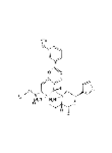 COC(=O)[C@@H]1C=C(OC(=O)c2cccc(OC)c2)C(=O)[C@H]2[C@@]1(N)CC[C@H]1C(=O)O[C@H](c3ccoc3)C[C@]21N